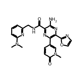 CN(C)c1cccc(CNC(=O)c2nc(-c3ccc(=O)n(C)c3)c(-c3ncco3)nc2N)n1